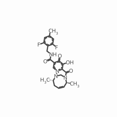 Cc1cc(F)c(CNC(=O)c2cn3c(c(O)c2=O)C(=O)N2CN3[C@@H](C)C/C=C\[C@@H]2C)c(F)c1